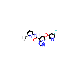 Cc1cccc(NC(=O)c2cc(Oc3cncc(F)c3)cn3ncnc23)n1